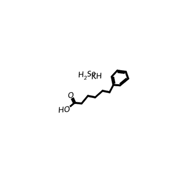 O=C(O)CCCCCc1ccccc1.[KH].[SeH2]